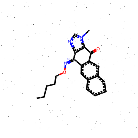 CCCCCO/N=C1\c2cc3ccccc3cc2C(=O)c2c1ncn2C